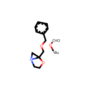 CC(C)(C)OC=O.c1ccc(COCC23CN2CCO3)cc1